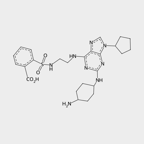 NC1CCC(Nc2nc(NCCNS(=O)(=O)c3ccccc3C(=O)O)c3ncn(C4CCCC4)c3n2)CC1